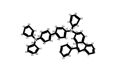 c1ccc(-c2cc3ccccc3c3ccc(N(c4ccccc4)c4ccc(-c5ccc(N(c6ccccc6)c6ccccc6)cc5)cc4)cc23)cc1